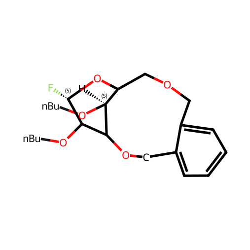 CCCCOC1C2OCc3ccccc3COCC(O[C@H]1F)[C@@H]2OCCCC